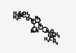 CC(C)(C)OC(=O)N1CCC2(CC1)CCN(c1ccnc3c1c(-c1cncnc1)cn3COCC[Si](C)(C)C)C2